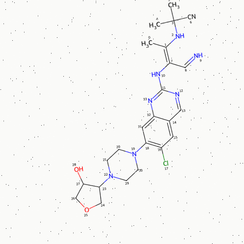 C/C(NC(C)(C)C#N)=C(/C=N)Nc1ncc2cc(Cl)c(N3CCN(C4COCC4O)CC3)cc2n1